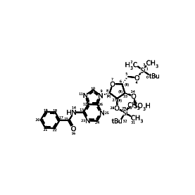 CC(C)(C)[Si](C)(C)OC[C@H]1O[C@@H](n2cnc3c(NC(=O)c4ccccc4)ncnc32)[C@H](O[Si](C)(C)C(C)(C)C)[C@@H]1OS(=O)(=O)O